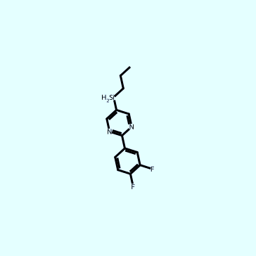 CCC[SiH2]c1cnc(-c2ccc(F)c(F)c2)nc1